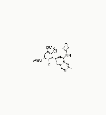 COc1cc(OC)c(Cl)c(-c2cc3cnc(C)nc3c(NC3COC3)n2)c1Cl